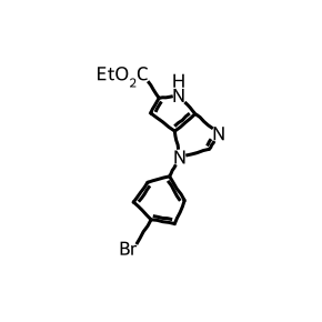 CCOC(=O)c1cc2c(ncn2-c2ccc(Br)cc2)[nH]1